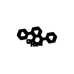 O=c1[nH]nc(-c2ccccc2)c2cccc(-c3ccccc3)c12